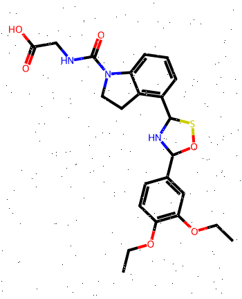 CCOc1ccc(C2NC(c3cccc4c3CCN4C(=O)NCC(=O)O)SO2)cc1OCC